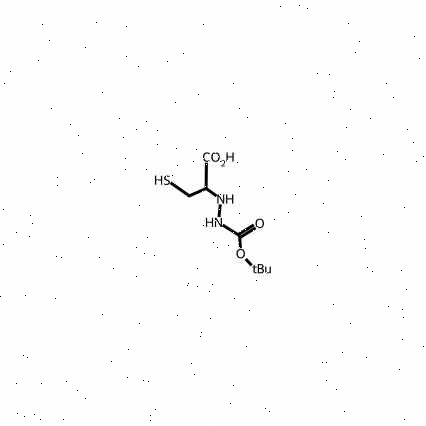 CC(C)(C)OC(=O)NNC(CS)C(=O)O